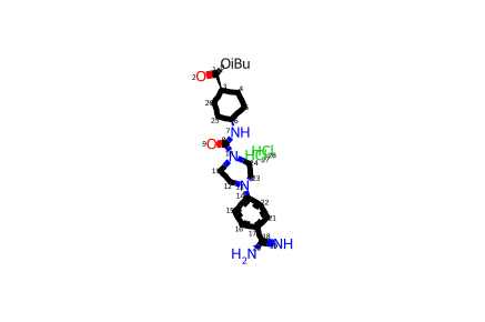 CC(C)COC(=O)[C@H]1CC[C@H](NC(=O)N2CCN(c3ccc(C(=N)N)cc3)CC2)CC1.Cl.Cl